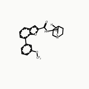 O=C(N[C@H]1CN2CCC1CC2)c1cc2cccc(-c3cccc(OC(F)(F)F)c3)c2o1